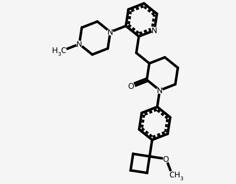 COC1(c2ccc(N3CCCC(Cc4ncccc4N4CCN(C)CC4)C3=O)cc2)CCC1